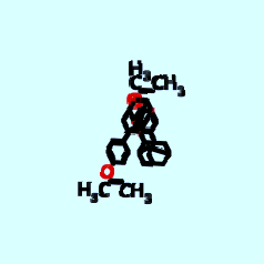 CC=C(C)Oc1ccc(C23CC4CC(CC(C4)C2C2C4CC5CC(C4)CC2(c2ccc(OC(C)=CC)cc2)C5)C3)cc1